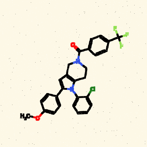 COc1ccc(-c2cc3c(n2-c2ccccc2Cl)CCN(C(=O)c2ccc(C(F)(F)F)cc2)C3)cc1